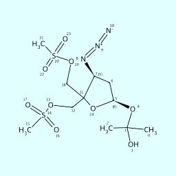 CC(C)(O)O[C@@H]1C[C@H](N=[N+]=[N-])C(COS(C)(=O)=O)(COS(C)(=O)=O)O1